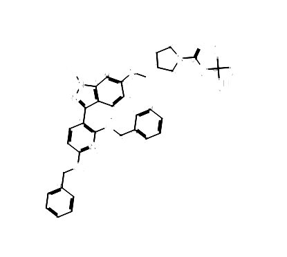 Cn1nc(-c2ccc(OCc3ccccc3)nc2OCc2ccccc2)c2ccc(NC[C@@H]3CCN(C(=O)OC(C)(C)C)C3)cc21